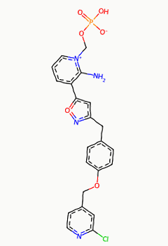 Nc1c(-c2cc(Cc3ccc(OCc4ccnc(Cl)c4)cc3)no2)ccc[n+]1COP(=O)([O-])O